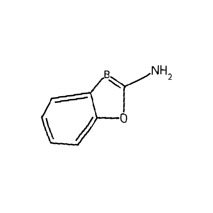 Nc1bc2ccccc2o1